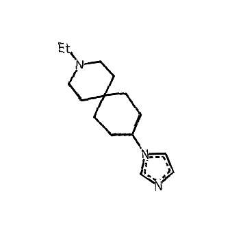 CCN1CCC2(CCC(n3ccnc3)CC2)CC1